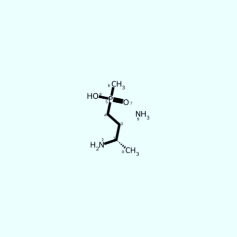 C[C@H](N)CCP(C)(=O)O.N